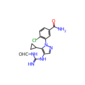 N=C(NC=O)Nc1cnn(-c2cc(C(N)=O)ccc2Cl)c1C1CC1